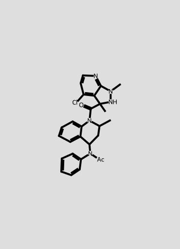 CC(=O)N(c1ccccc1)C1CC(C)N(C(=O)C2(C)NN(C)c3nccc(Cl)c32)c2ccccc21